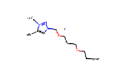 CCCc1cn(COCCCOCCOC)n[n+]1C.[I-]